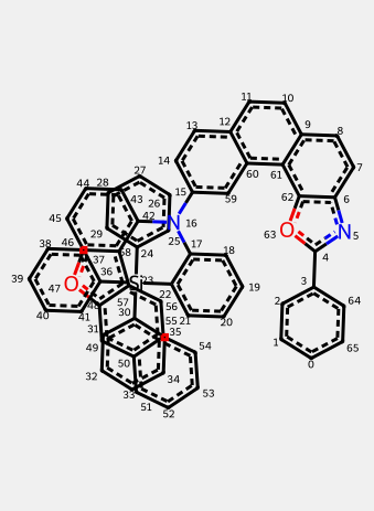 c1ccc(-c2nc3ccc4ccc5ccc(N(c6ccccc6[Si](c6ccccc6)(c6ccccc6)c6ccccc6)c6cccc7oc8cc9ccccc9cc8c67)cc5c4c3o2)cc1